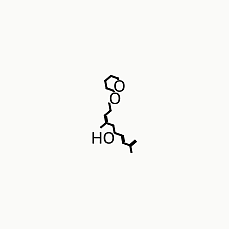 C=C(C)C=CC(O)CC(C)=CCCOC1CCCCO1